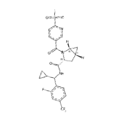 CS(=O)(=O)c1ccc(C(=O)N2[C@@H](C(=O)NC(c3ccc(C(F)(F)F)cc3F)C3CC3)C[C@H]3C[C@H]32)cn1